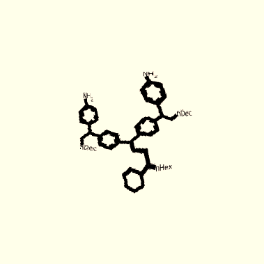 CCCCCCCCCCCC(c1ccc(N)cc1)c1ccc(C(CCC(CCCCCC)C2CCCCC2)c2ccc(C(CCCCCCCCCCC)c3ccc(N)cc3)cc2)cc1